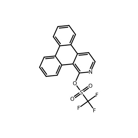 O=S(=O)(Oc1nccc2c3ccccc3c3ccccc3c12)C(F)(F)F